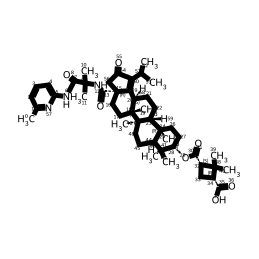 Cc1cccc(NC(=O)C(C)(C)NC(=O)[C@@]23CC[C@]4(C)[C@H](CC[C@@H]5[C@@]6(C)CC[C@H](OC(=O)[C@H]7C[C@@H](C(=O)O)C7(C)C)C(C)(C)[C@@H]6CC[C@]54C)C2=C(C(C)C)C(=O)C3)n1